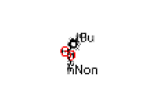 CCCCCCCCCCCCOC(=O)c1ccc(C(C)(C)C)cc1